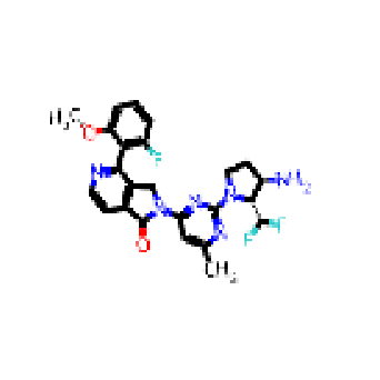 COc1cccc(F)c1-c1nccc2c1CN(c1cc(C)nc(N3CC[C@@H](N)[C@@H]3C(F)F)n1)C2=O